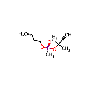 C#CC(C)(C)OP(C)(=O)OCCC=C